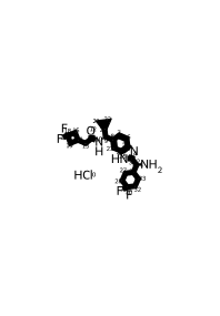 Cl.N[C@H](c1nc2ccc([C@H](NC(=O)CC3CC(F)(F)C3)C3CC3)cc2[nH]1)C1CCC(F)(F)CC1